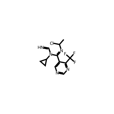 CC(Cl)/N=C(/c1cncnc1C(F)(F)F)N(C=N)C1CC1